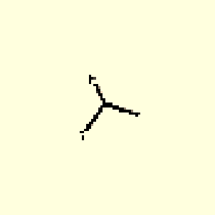 CC(F)[S]